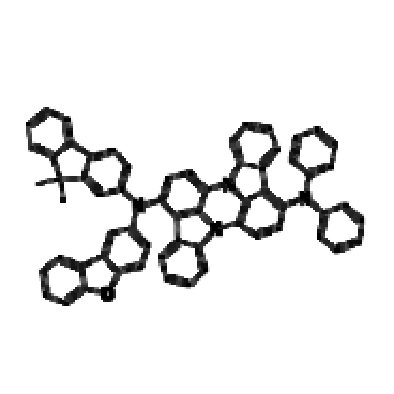 CC1(C)c2ccccc2-c2ccc(N(c3ccc4oc5ccccc5c4c3)c3ccc4c5c3c3ccccc3n5c3ccc(N(c5ccccc5)c5ccccc5)c5c6ccccc6n4c53)cc21